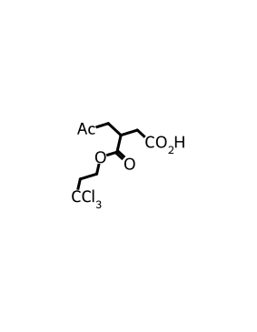 CC(=O)CC(CC(=O)O)C(=O)OCCC(Cl)(Cl)Cl